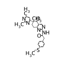 CCSc1ccc(CC(=O)Nc2ncc3c(n2)CCC(C)(c2cc(C)nc(C)n2)C3=O)cc1